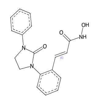 O=C(/C=C/c1ccccc1N1CCN(c2ccccc2)C1=O)NO